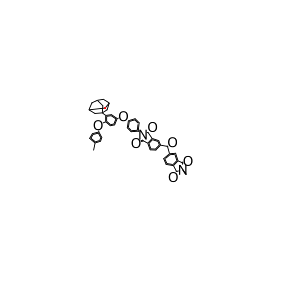 Cc1ccc(Oc2ccc(Oc3ccc(N4C(=O)c5ccc(C(=O)c6ccc7c(c6)C(=O)N(C)C7=O)cc5C4=O)cc3)cc2C23CC4CC(CC(C4)C2)C3)cc1